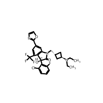 CCN(CC)[C@H]1C[C@H](CN2C(=O)[C@](O)(c3c(F)cccc3Cl)c3c2cc(-c2ncco2)cc3C(F)(F)F)C1